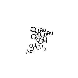 CCCC[C@H]1C[C@]2(CO[Si](c3ccccc3)(c3ccccc3)C(C)(C)C)O[C@@H](C[C@@H](C)C(=O)CC(C)=O)CC[C@@H]2O1